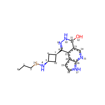 CCCSN[C@H]1C[C@@H](C2=NNB(O)c3cnc4[nH]ccc4c32)C1